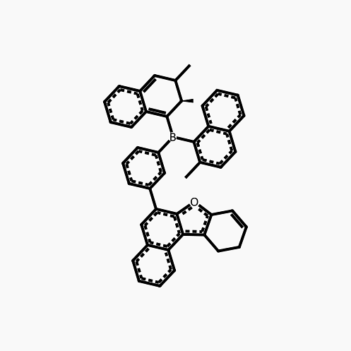 Cc1ccc2ccccc2c1B(C1=c2ccccc2=CC(C)[C@H]1C)c1cccc(-c2cc3ccccc3c3c4c(oc23)C=CCC4)c1